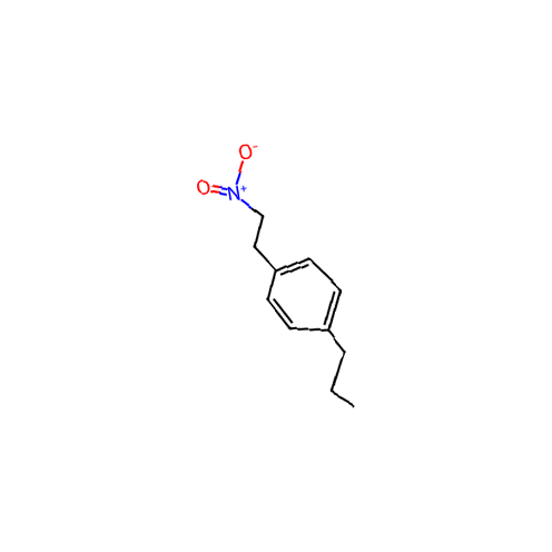 CCCc1ccc(CC[N+](=O)[O-])cc1